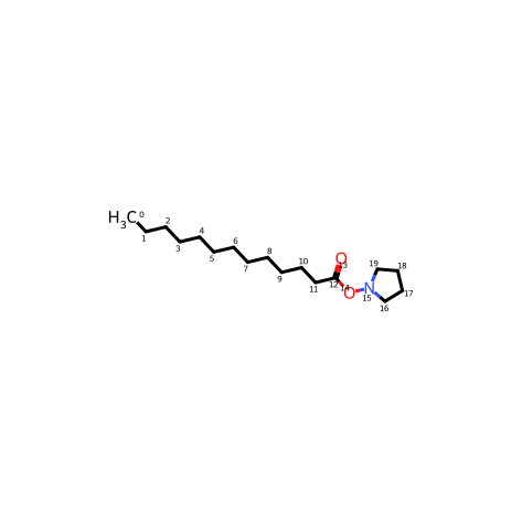 CCCCCCCCCCCCC(=O)ON1CCCC1